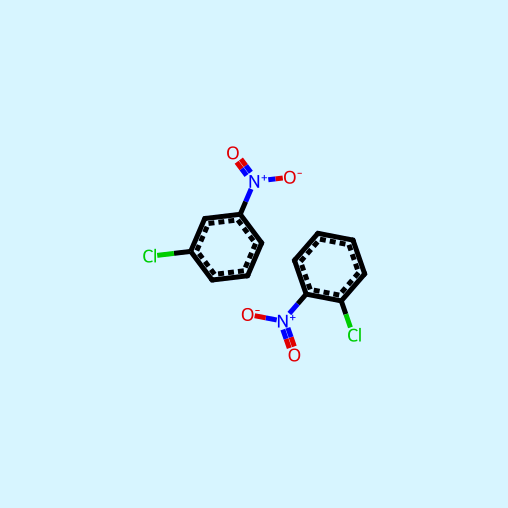 O=[N+]([O-])c1cccc(Cl)c1.O=[N+]([O-])c1ccccc1Cl